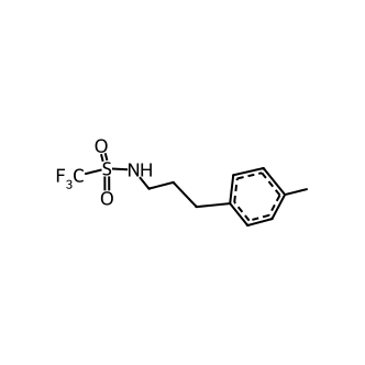 Cc1ccc(CCCNS(=O)(=O)C(F)(F)F)cc1